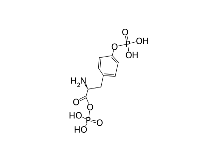 N[C@@H](Cc1ccc(OP(=O)(O)O)cc1)C(=O)OP(=O)(O)O